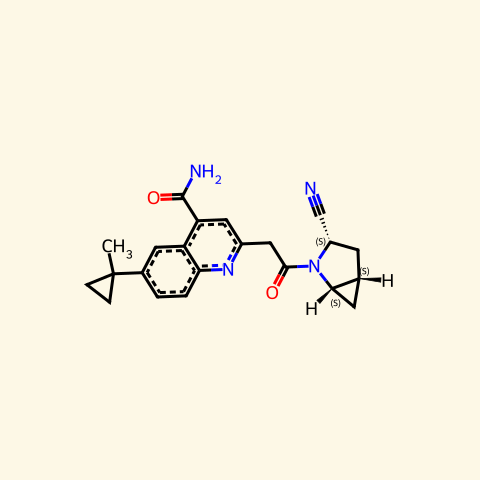 CC1(c2ccc3nc(CC(=O)N4[C@H](C#N)C[C@@H]5C[C@@H]54)cc(C(N)=O)c3c2)CC1